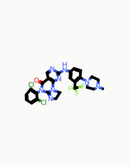 CN1CCN(c2ccc(Nc3ncc4c(n3)N3CCN=C3N(c3c(Cl)cccc3Cl)C4=O)cc2C(F)(F)F)CC1